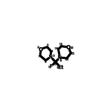 CCC(F)(N1CCOCC1)N1CCOCC1